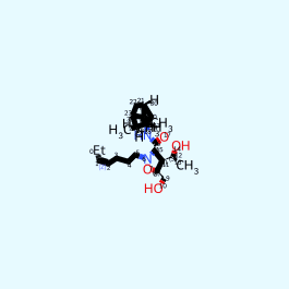 CC/C=C\CCCN1O[C@@H](CO)[C@@H]([C@H](C)O)[C@H]1C(=O)N[C@H]1C[C@H]2C[C@@H]([C@@H]1C)C2(C)C